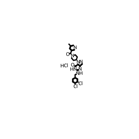 Cc1cncc(C(=O)N2CCC(n3ncc4nc(NCc5ccc(Cl)c(Cl)c5)[nH]c(=O)c43)CC2)c1.Cl